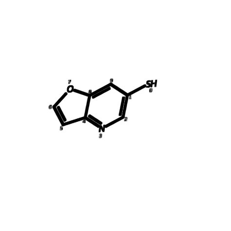 Sc1cnc2ccoc2c1